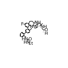 CCNC(=O)NCc1ccccc1-c1ccc(CN2C(=O)[C@H](NC(=O)CC(C)(C)NC[C@@H](C)O)CCc3cc(F)ccc32)cc1